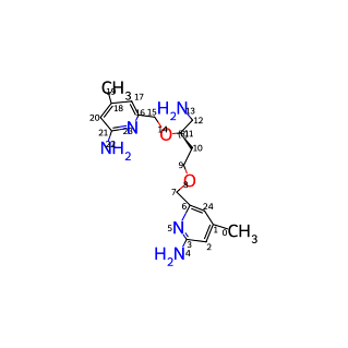 Cc1cc(N)nc(COCC[C@H](CN)OCc2cc(C)cc(N)n2)c1